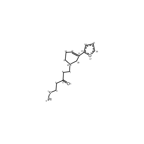 CC(C)SCCC(=O)CCN1CCC=C(c2ccco2)C1